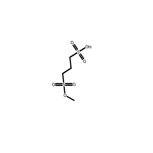 COS(=O)(=O)CCCS(=O)(=O)O